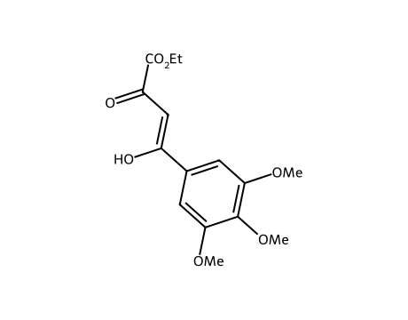 CCOC(=O)C(=O)C=C(O)c1cc(OC)c(OC)c(OC)c1